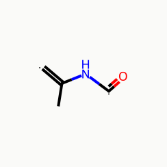 [CH]=C(C)N[C]=O